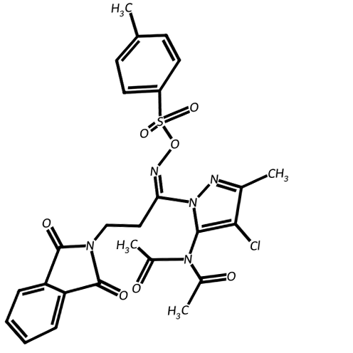 CC(=O)N(C(C)=O)c1c(Cl)c(C)nn1C(CCN1C(=O)c2ccccc2C1=O)=NOS(=O)(=O)c1ccc(C)cc1